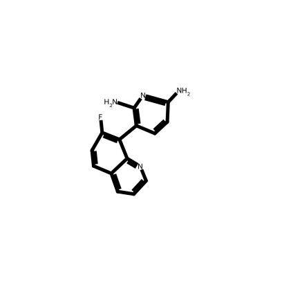 Nc1ccc(-c2c(F)ccc3cccnc23)c(N)n1